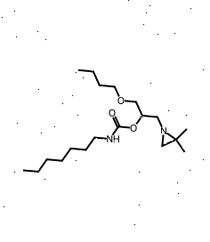 CCCCCCCNC(=O)OC(COCCCC)CN1CC1(C)C